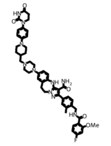 COc1cc(F)ccc1C(=O)NCc1ccc(-c2nn3c(c2C(N)=O)Nc2ccc(N4CCN(CC5CCN(c6ccc(N7CCC(=O)NC7=O)cc6)CC5)CC4)cc2CC3)cc1C